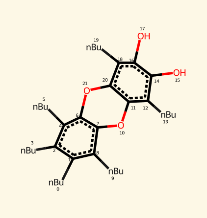 CCCCc1c(CCCC)c(CCCC)c2c(c1CCCC)Oc1c(CCCC)c(O)c(O)c(CCCC)c1O2